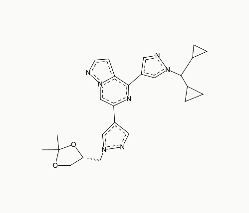 CC1(C)OC[C@@H](Cn2cc(-c3cn4nccc4c(-c4cnn(C(C5CC5)C5CC5)c4)n3)cn2)O1